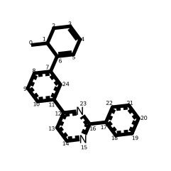 CC1CC=CC=C1c1cccc(-c2ccnc(-c3ccccc3)n2)c1